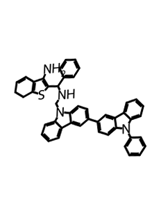 Nc1c(C(NCn2c3ccccc3c3cc(-c4ccc5c(c4)c4ccccc4n5-c4ccccc4)ccc32)c2ccccc2)sc2c1C=CCC2